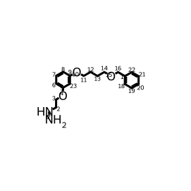 NNCCOc1cccc(OCCCCOCc2ccccc2)c1